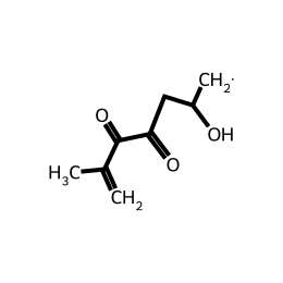 [CH2]C(O)CC(=O)C(=O)C(=C)C